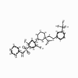 CN(C)[C@@]1(CCc2cccc(C(F)(F)F)c2)CCCN(c2cc(F)c(S(=O)(=O)Nc3ccncn3)cc2F)C1